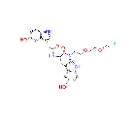 O=C(Cc1c[nH]c2ccc(O)cc12)N[C@@H](Cc1c[nH]c2ccc(O)cc12)C(=O)NCCOCCOCCF